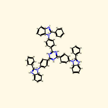 c1ccc(-c2nc3ccccc3n2-c2ccc(-c3nc(-c4ccc(-n5c(-c6ccccc6)nc6ccccc65)cc4)nc(-c4ccc(-n5c(-c6ccccc6)nc6ccccc65)cc4)n3)cc2)cc1